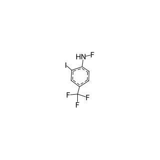 FNc1ccc(C(F)(F)F)cc1I